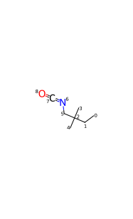 CCC(C)(C)CN=C=O